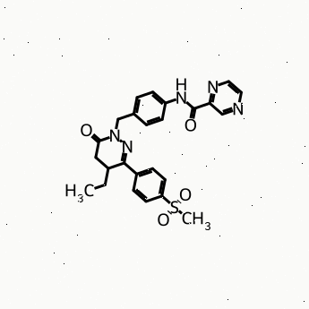 CCC1CC(=O)N(Cc2ccc(NC(=O)c3cnccn3)cc2)N=C1c1ccc(S(C)(=O)=O)cc1